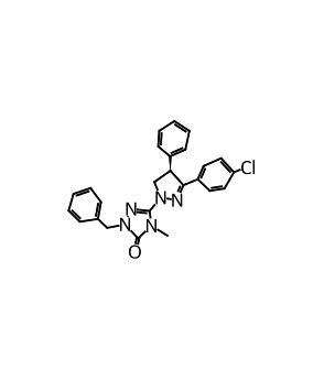 Cn1c(N2C[C@@H](c3ccccc3)C(c3ccc(Cl)cc3)=N2)nn(Cc2ccccc2)c1=O